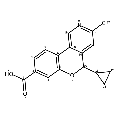 O=C(O)c1ccc2c(c1)OC(C1CC1)c1cc(Cl)ncc1-2